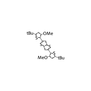 COc1cc(C(C)(C)C)sc1-c1cc2sc(-c3sc(C(C)(C)C)cc3OC)cc2s1